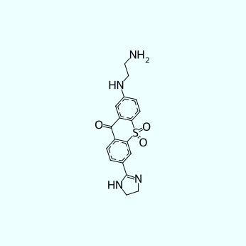 NCCNc1ccc2c(c1)C(=O)c1ccc(C3=NCCN3)cc1S2(=O)=O